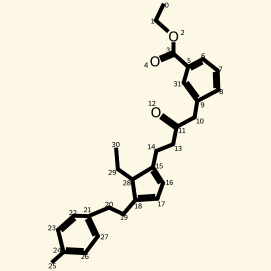 CCOC(=O)c1cccc(CC(=O)CCC2=CC=C(CCc3ccc(C)cc3)C2CC)c1